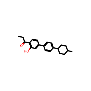 CCC(=O)c1ccc(-c2ccc(C3CCC(C)CC3)cc2)cc1O